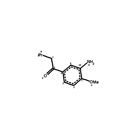 COc1ccc(C(=O)CC(C)C)cc1N